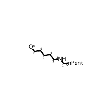 CCCCCCNCCCCC[O]